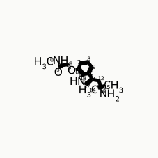 CNC(=O)COc1cccc2c(CC(C)(C)N)c[nH]c12